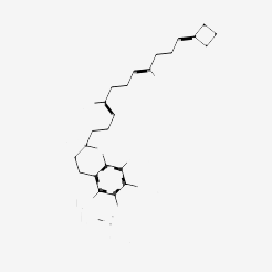 C/C(=C\CC/C(C)=C/CC[C@]1(C)CCc2c(C)c(O[SiH](C)C)c(C)c(C)c2O1)CCC=C1CCC1